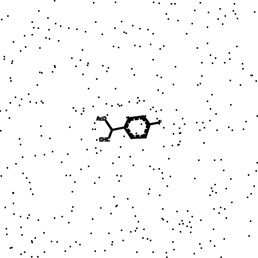 CC(=O)OC(C=O)c1ccc(F)cc1